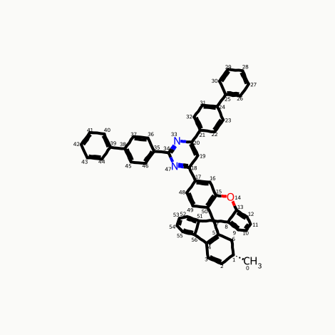 C[C@@H]1C=CC2=C(C1)C1(c3ccccc3Oc3cc(-c4cc(-c5ccc(-c6ccccc6)cc5)nc(-c5ccc(-c6ccccc6)cc5)n4)ccc31)c1ccccc12